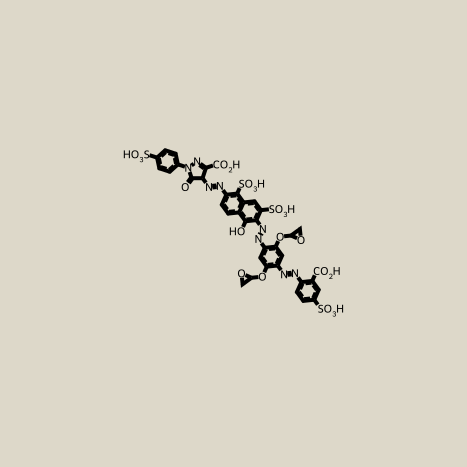 O=C(O)C1=NN(c2ccc(S(=O)(=O)O)cc2)C(=O)C1/N=N/c1ccc2c(O)c(/N=N/c3cc(OC4CO4)c(/N=N/c4ccc(S(=O)(=O)O)cc4C(=O)O)cc3OC3CO3)c(S(=O)(=O)O)cc2c1S(=O)(=O)O